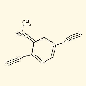 [C]#CC1=CC=C(C#[C])C(=[SiH]C)C1